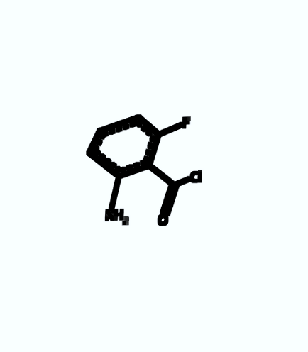 Nc1cccc(F)c1C(=O)Cl